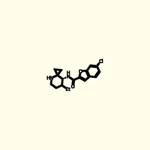 CCC1CCNC2(CC2)[C@@H]1NC(=O)c1cc2ccc(Cl)cc2o1